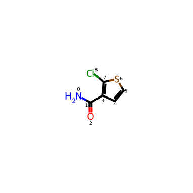 NC(=O)c1ccsc1Cl